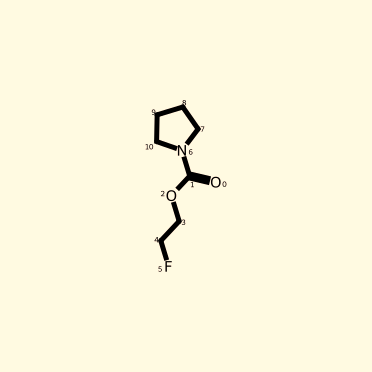 O=C(OCCF)N1CCCC1